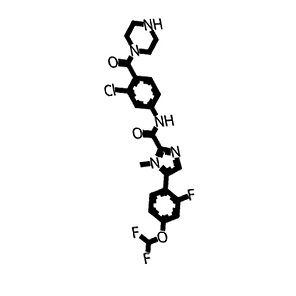 Cn1c(-c2ccc(OC(F)F)cc2F)cnc1C(=O)Nc1ccc(C(=O)N2CCNCC2)c(Cl)c1